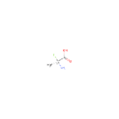 C[C@](N)(F)C(=O)O